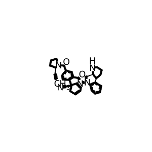 CC#C[C@H]1CCCN1C(=O)c1ccc(C2(C#N)C=CC=CC2)c(-c2nnc([C@H]3NCCC[C@H]3c3ccccc3)o2)c1